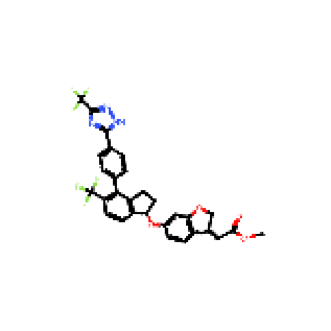 COC(=O)CC1COc2cc(O[C@@H]3CCc4c3ccc(C(F)(F)F)c4-c3ccc(-c4nc(C(F)(F)F)n[nH]4)cc3)ccc21